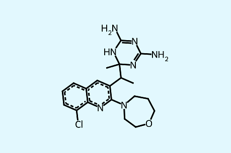 CC(c1cc2cccc(Cl)c2nc1N1CCCOCC1)C1(C)N=C(N)N=C(N)N1